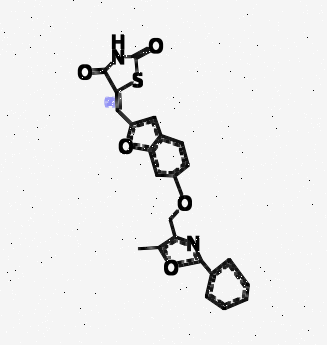 Cc1oc(-c2ccccc2)nc1COc1ccc2cc(/C=C3\SC(=O)NC3=O)oc2c1